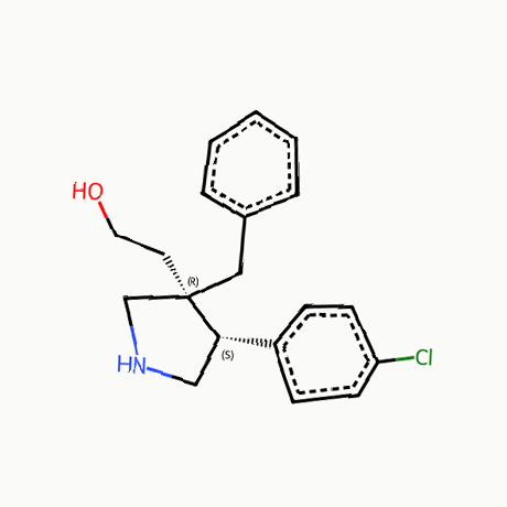 OCC[C@@]1(Cc2ccccc2)CNC[C@H]1c1ccc(Cl)cc1